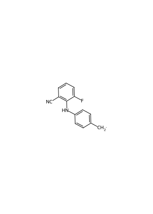 [CH2]c1ccc(Nc2c(F)cccc2C#N)cc1